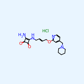 Cl.Nc1c(NCC=CCOc2cc(CN3CCCCC3)ccn2)c(=O)c1=O